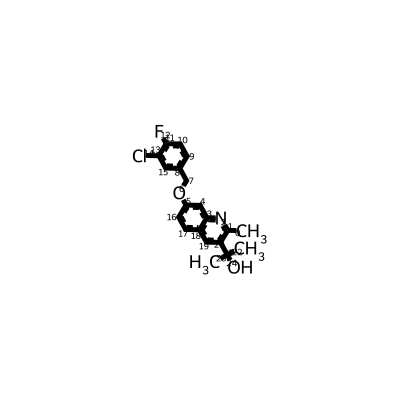 Cc1nc2cc(OCc3ccc(F)c(Cl)c3)ccc2cc1C(C)(C)O